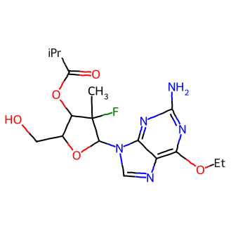 CCOc1nc(N)nc2c1ncn2C1OC(CO)C(OC(=O)C(C)C)C1(C)F